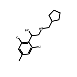 Cc1cc(Cl)c(C(O)CNCC2CCCC2)c(Cl)c1